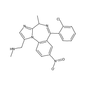 CNCc1cnc2n1-c1ccc([N+](=O)[O-])cc1C(c1ccccc1Cl)=NC2C